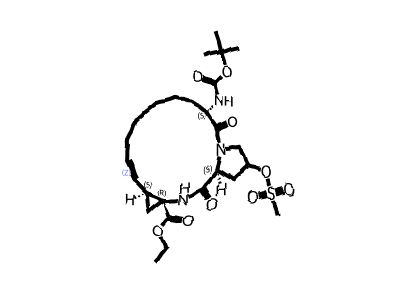 CCOC(=O)[C@@]12C[C@H]1/C=C\CCCCC[C@H](NC(=O)OC(C)(C)C)C(=O)N1CC(OS(C)(=O)=O)C[C@H]1C(=O)N2